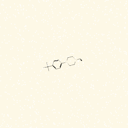 CC(C)(C)c1ccc(N2CCN([C]=O)CC2)cc1